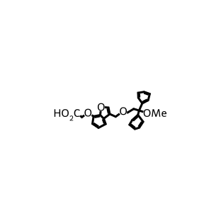 COC(CCOCc1coc2c(OCC(=O)O)cccc12)(c1ccccc1)c1ccccc1